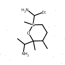 CCC(N)[Si]1(C)CCC(C)C(C)(C(C)N)O1